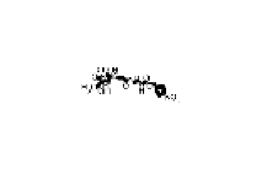 C[C@H](O)[C@@H]1C(=O)N2C(C(=O)O)=C(SC=CC(=O)NCCNC(=O)OCc3ccc([N+](=O)[O-])cc3)C[C@H]12